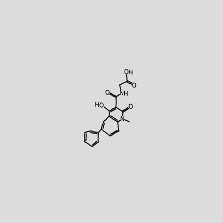 Cn1c(=O)c(C(=O)NCC(=O)O)c(O)c2cc(-c3ccccc3)ccc21